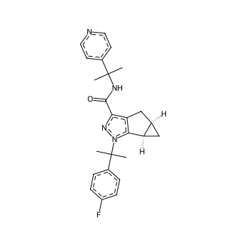 CC(C)(NC(=O)c1nn(C(C)(C)c2ccc(F)cc2)c2c1C[C@H]1C[C@@H]21)c1ccncc1